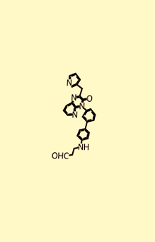 O=CCCNc1ccc(-c2cccc(-n3c(=O)c(Cc4cccnc4)nc4cccnc43)c2)cc1